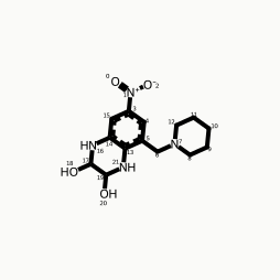 O=[N+]([O-])c1cc(CN2CCCCC2)c2c(c1)NC(O)C(O)N2